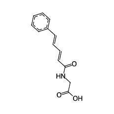 O=C(O)CNC(=O)/C=C/C=C/c1ccccc1